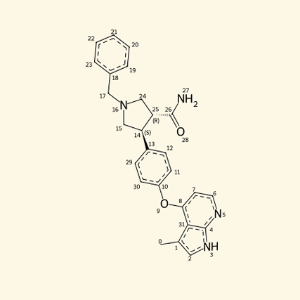 Cc1c[nH]c2nccc(Oc3ccc([C@H]4CN(Cc5ccccc5)C[C@@H]4C(N)=O)cc3)c12